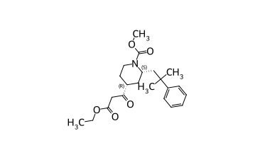 CCOC(=O)CC(=O)[C@@H]1CCN(C(=O)OC)[C@H](CC(C)(C)c2ccccc2)C1